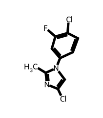 Cc1nc(Cl)cn1-c1ccc(Cl)c(F)c1